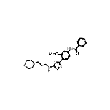 COc1cc(NC(=O)c2ccccc2)ccc1-c1nnc(NCCCN2CCOCC2)o1